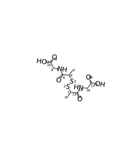 CC(SSC(C)C(=O)NCC(=O)O)C(=O)NCC(=O)O